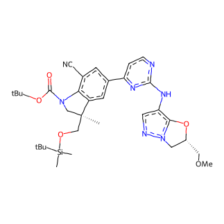 COC[C@@H]1Cn2ncc(Nc3nccc(-c4cc(C#N)c5c(c4)[C@@](C)(CO[Si](C)(C)C(C)(C)C)CN5C(=O)OC(C)(C)C)n3)c2O1